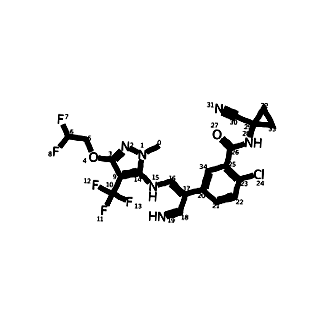 Cn1nc(OCC(F)F)c(C(F)(F)F)c1N/C=C(\C=N)c1ccc(Cl)c(C(=O)NC2(C#N)CC2)c1